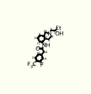 CCC(O)CN1CCc2c(cccc2NC(=O)Cc2ccc(C(F)(F)F)c(F)c2)C1